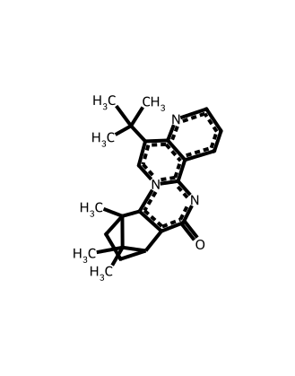 CC(C)(C)c1cn2c3c(c(=O)nc2c2cccnc12)C1CCC3(C)C1(C)C